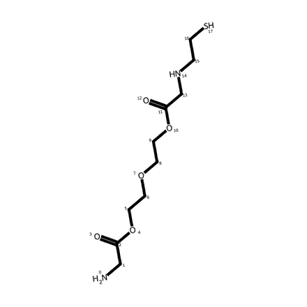 NCC(=O)OCCOCCOC(=O)CNCCS